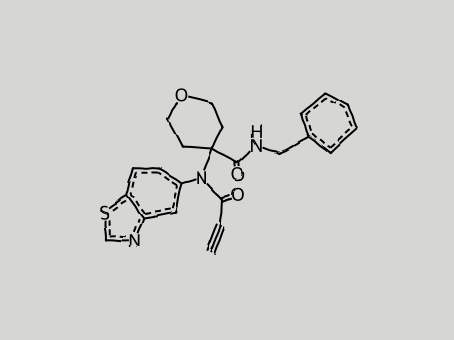 C#CC(=O)N(c1ccc2scnc2c1)C1(C(=O)NCc2ccccc2)CCOCC1